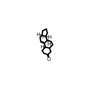 O=C1CC[C@@H]2C3=CC[C@@H]4CCC[C@H]4[C@@H]3CCC2C1